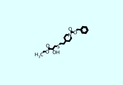 CCOC(=O)[C@H](O)CSCCC1CCN(C(=O)OCc2ccccc2)CC1